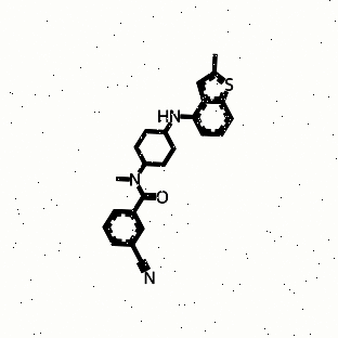 Cc1cc2c(NC3CCC(N(C)C(=O)c4cccc(C#N)c4)CC3)cccc2s1